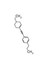 CCCc1ccc(C#CC2=CCC(CC)CC2)cc1